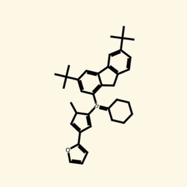 CC1C=C(c2ccco2)C=[C]1[Zr](=[C]1CCCCC1)[c]1cc(C(C)(C)C)cc2c1Cc1ccc(C(C)(C)C)cc1-2